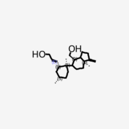 C=C1CCC2[C@H](CO)C([C@@]3(C)CC[C@H](C)C[C@@H]3/C=C/CO)CC[C@]12C